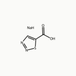 O=C(O)c1cnns1.[NaH]